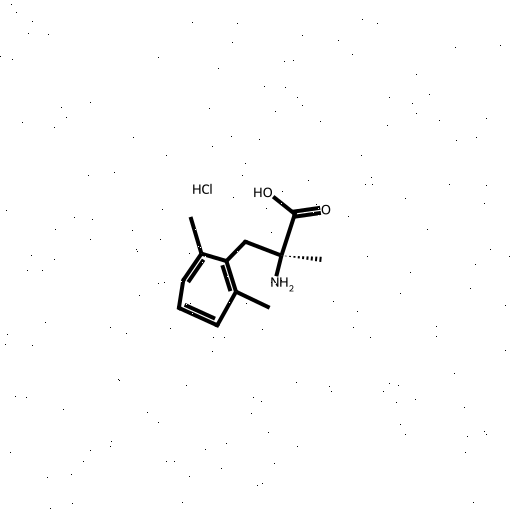 Cc1cccc(C)c1C[C@](C)(N)C(=O)O.Cl